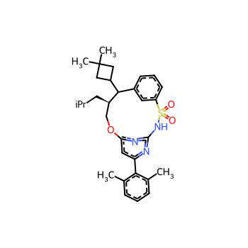 Cc1cccc(C)c1-c1cc2nc(n1)NS(=O)(=O)c1cccc(c1)C(C1CC(C)(C)C1)[C@H](CC(C)C)CO2